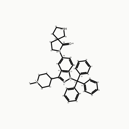 CN1CCC(c2nn(C(c3ccccc3)(c3ccccc3)c3ccccc3)c3ccc(N4CCC5(CCNC5)C4=O)cc23)CC1